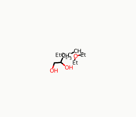 CC(O)CO.CCOC(C)=O.CCOCC